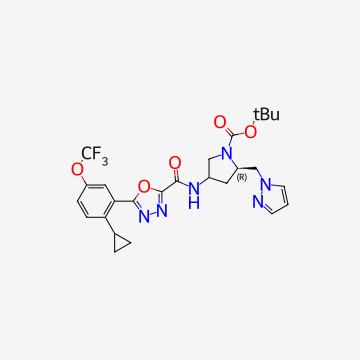 CC(C)(C)OC(=O)N1CC(NC(=O)c2nnc(-c3cc(OC(F)(F)F)ccc3C3CC3)o2)C[C@@H]1Cn1cccn1